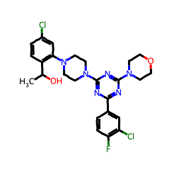 CC(O)c1ccc(Cl)cc1N1CCN(c2nc(-c3ccc(F)c(Cl)c3)nc(N3CCOCC3)n2)CC1